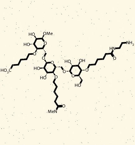 CNC(=O)CCCCCO[C@H]1[C@H](O)[C@@H](O)[C@@H](OC[C@H]2O[C@H](OC)[C@H](O)[C@@H](O)[C@@H]2OCCCCCC(=O)O)O[C@@H]1CO[C@H]1O[C@H](CO)[C@@H](OCCCCCC(=O)NCCN)[C@H](O)[C@H]1O